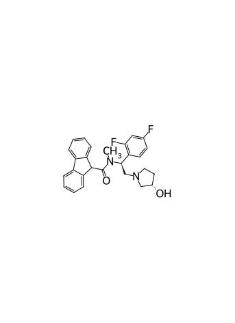 CN(C(=O)C1c2ccccc2-c2ccccc21)[C@H](CN1CC[C@H](O)C1)c1ccc(F)cc1F